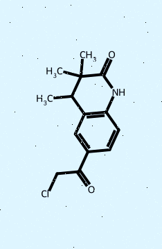 CC1c2cc(C(=O)CCl)ccc2NC(=O)C1(C)C